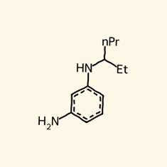 CCCC(CC)Nc1cccc(N)c1